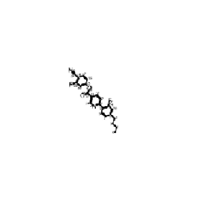 CCCCc1ccc(-c2ccc(C(=O)Oc3ccc(C#N)c(F)c3)cn2)c(F)c1